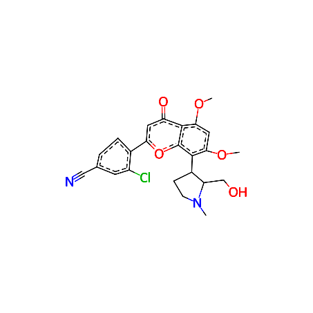 COc1cc(OC)c2c(=O)cc(-c3ccc(C#N)cc3Cl)oc2c1C1CCN(C)C1CO